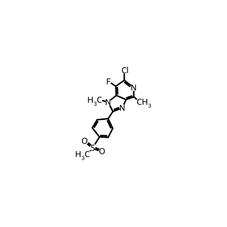 Cc1nc(Cl)c(F)c2c1nc(-c1ccc(S(C)(=O)=O)cc1)n2C